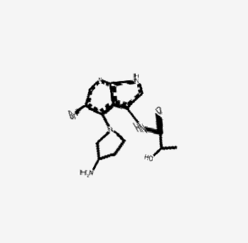 CC(O)C(=O)Nc1c[nH]c2ncc(Br)c(N3CCC(N)C3)c12